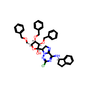 O[C@@]1(C2CN=C3C(N[C@H]4CCc5ccccc54)=NC(Cl)=NN32)O[C@H](COCc2ccccc2)[C@@H](OCc2ccccc2)[C@H]1OCc1ccccc1